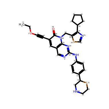 CCOC#Cc1cc2cnc(Nc3ccc(C4CNCCS4)cc3)nc2n(Cc2scnc2C2CCCC2)c1=O